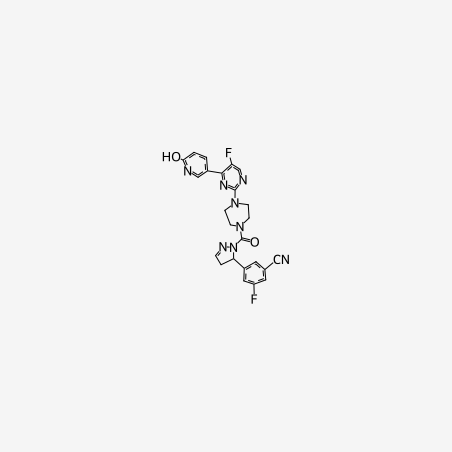 N#Cc1cc(F)cc(C2CC=NN2C(=O)N2CCN(c3ncc(F)c(-c4ccc(O)nc4)n3)CC2)c1